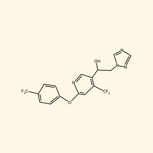 OC(Cn1cncn1)c1cnc(Oc2ccc(C(F)(F)F)cc2)cc1C(F)(F)F